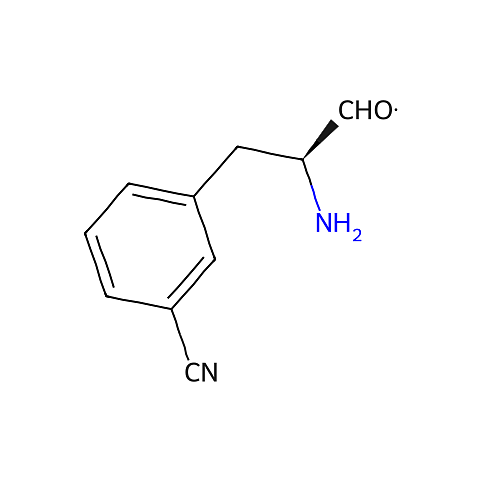 N#Cc1cccc(C[C@H](N)[C]=O)c1